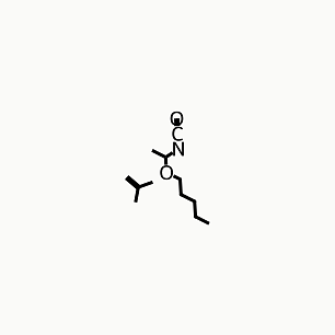 C=C(C)C.CCCCCOC(C)N=C=O